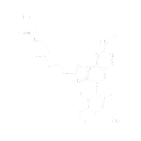 C=CC(=O)N1CCC(CCCc2cn3c(n2)c(-c2c(Cl)c(OC)cc(OC)c2Cl)cc2cnc(NC)nc23)CC1